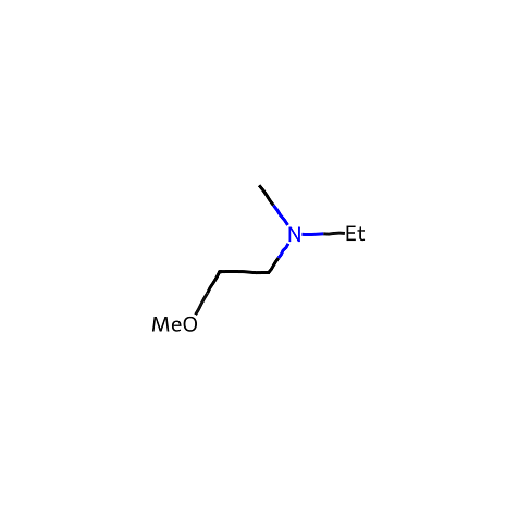 CCN(C)CCOC